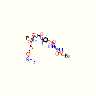 CC(C)[C@H](NC(=O)CCOCCOCCN)C(=O)N[C@@H](C)C(=O)Nc1ccc(COC(=O)NCCNC(=O)OCC(C)(C)C)cc1